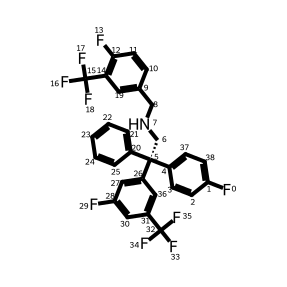 Fc1ccc([C@](CNCc2ccc(F)c(C(F)(F)F)c2)(c2ccccc2)c2cc(F)cc(C(F)(F)F)c2)cc1